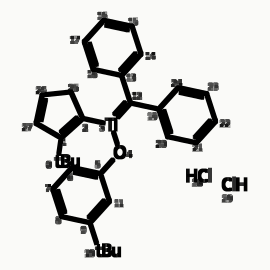 CC(C)(C)C1=[C]([Ti]([O]c2cccc(C(C)(C)C)c2)=[C](c2ccccc2)c2ccccc2)CC=C1.Cl.Cl